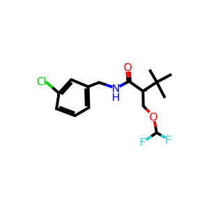 CC(C)(C)[C](COC(F)F)C(=O)NCc1cccc(Cl)c1